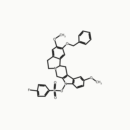 COc1ccc2c(c1)c1c(n2OS(=O)(=O)c2ccc(F)cc2)CN2CCc3cc(OC)c(OCc4ccccc4)cc3C2C1